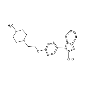 CN1CCN(CCOc2ccc(-c3c(C=O)cc4ccccn34)nn2)CC1